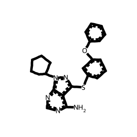 Nc1ncnc2c1c(Sc1cccc(Oc3ccccc3)c1)nn2C1CCCCC1